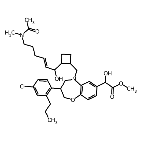 CCCc1cc(Cl)ccc1C1COc2ccc(C(O)C(=O)OC)cc2N(CC2CCC2C(O)/C=C/CCCN(C)C(C)=O)C1